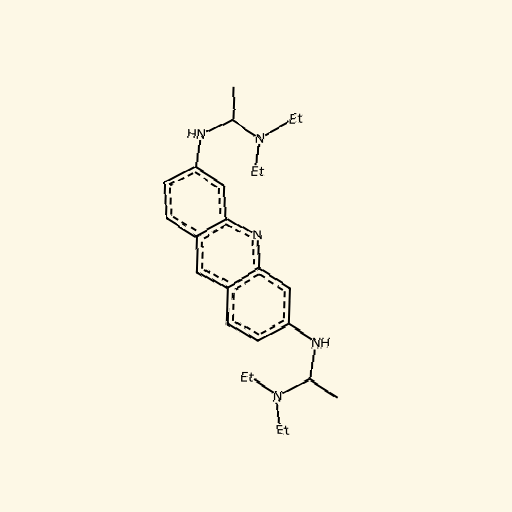 CCN(CC)C(C)Nc1ccc2cc3ccc(NC(C)N(CC)CC)cc3nc2c1